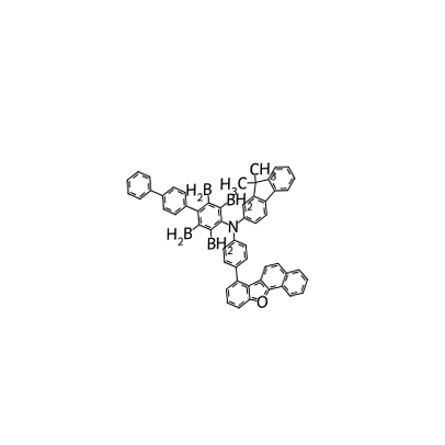 Bc1c(B)c(N(c2ccc(-c3cccc4oc5c6ccccc6ccc5c34)cc2)c2ccc3c(c2)C(C)(C)c2ccccc2-3)c(B)c(B)c1-c1ccc(-c2ccccc2)cc1